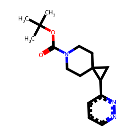 CC(C)(C)OC(=O)N1CCC2(CC1)CC2c1cccnn1